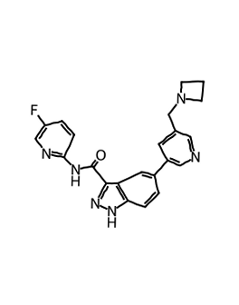 O=C(Nc1ccc(F)cn1)c1n[nH]c2ccc(-c3cncc(CN4CCC4)c3)cc12